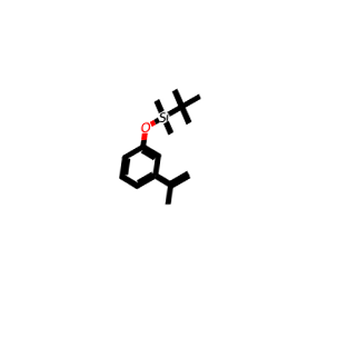 C=C(C)c1cccc(O[Si](C)(C)C(C)(C)C)c1